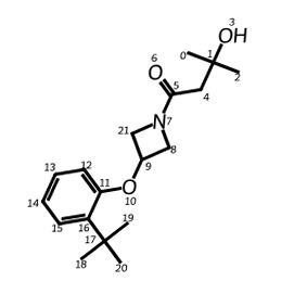 CC(C)(O)CC(=O)N1CC(Oc2ccccc2C(C)(C)C)C1